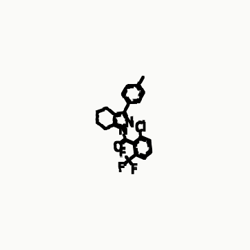 Cc1ccc(-c2nn(C(=O)c3c(Cl)cccc3C(F)(F)F)c3c2CCCC3)cc1